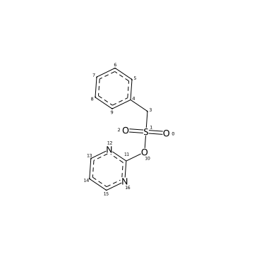 O=S(=O)(Cc1ccccc1)Oc1ncccn1